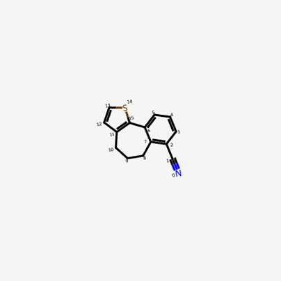 N#Cc1cccc2c1CCCc1ccsc1-2